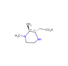 C[C@H]1[C@H](CC(=O)O)NCCN1C